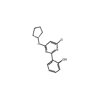 Oc1ccccc1-c1nc(Cl)cc(OC2CCCC2)n1